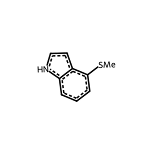 CSc1cccc2[nH]ccc12